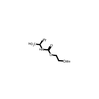 COCCOC(=O)NC(C(=O)O)C(C)C